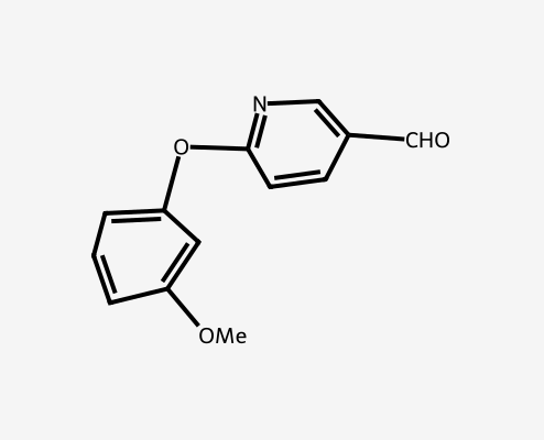 COc1cccc(Oc2ccc(C=O)cn2)c1